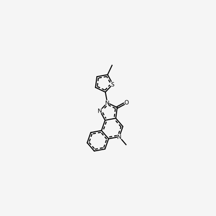 Cc1ccc(-n2nc3c4ccccc4n(C)cc-3c2=O)s1